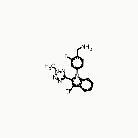 Cn1nnc(-c2c(Cl)c3ccccc3n2-c2ccc(CN)c(F)c2)n1